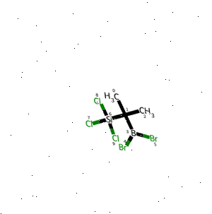 CC(C)(B(Br)Br)[Si](Cl)(Cl)Cl